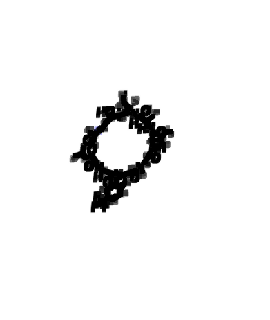 CCC(C)C1NC(=O)CN(C)C(=O)[C@@H](Cc2ccc(C(F)(F)F)cc2)N(C)C(=O)[C@H](C)NC(=O)[C@@H](CC(C)C)OC(=O)/C(C)=C/C[C@H](O)[C@H](C)[C@@H]([C@@H](C)CC)NC(=O)[C@@H](C)NC1=O